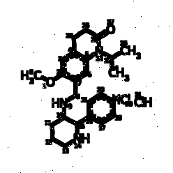 COc1cc2c(cc1CNC1CCCNC1c1ccccc1)N(C(C)C)C(=O)CC2.Cl.Cl